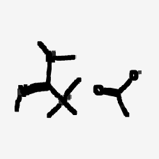 CC(=O)[O-].CN=C(N(C)C)[N+](C)(C)C